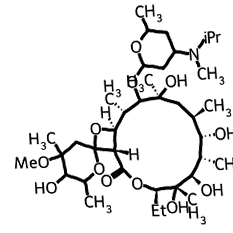 CC[C@H]1OC(=O)[C@H]2[C@@H](OC23CC(C)(OC)C(O)C(C)O3)[C@H](C)C(OC2CC(N(C)C(C)C)CC(C)O2)[C@@](C)(O)C[C@@H](C)[C@H](O)[C@H](C)[C@@H](O)[C@]1(C)O